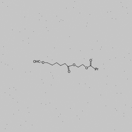 CC(C)C(=O)OCCOC(=O)CCCCCOC=O